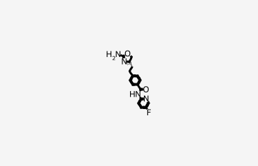 NC1=N[C@@H](CCc2ccc(C(=O)Nc3ccc(F)cn3)cc2)CO1